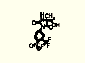 C[C@@]1(CO)NC(=O)N(c2ccc([N+](=O)[O-])c(C(F)(F)F)c2)C1=O